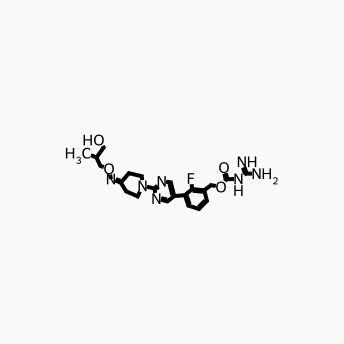 CC(CO)CON=C1CCN(c2ncc(-c3cccc(COC(=O)NC(=N)N)c3F)cn2)CC1